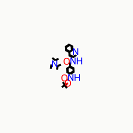 CC(C)(C)OC(=O)Nc1ccc(C(=O)Nc2cnc3ccccc3c2)cc1.CCN(C(C)C)C(C)C